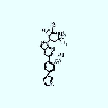 CC1(C)CC(n2ncc3cc(-c4ccc(-c5cccnc5)cc4O)nnc32)CC(C)(C)N1.Cl